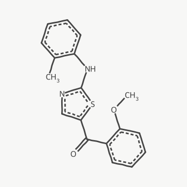 COc1ccccc1C(=O)c1cnc(Nc2ccccc2C)s1